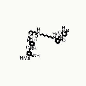 CNc1ccc(C(=O)Nc2ccc3[nH]c(CN4CCC(CC(=O)NCCCCCCCNc5cccc6c5C(=O)N(C5CCC(=O)NC5=O)C6=O)C4)nc3c2)cc1C=N